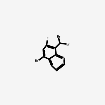 Fc1cc(Br)c2cccnc2c1C(Br)Br